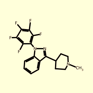 CN1CCC(c2nn(-c3c(F)c(F)c(F)c(F)c3F)c3ccccc23)CC1